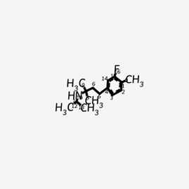 Cc1ccc(CCC(C)(C)NC(C)C)cc1F